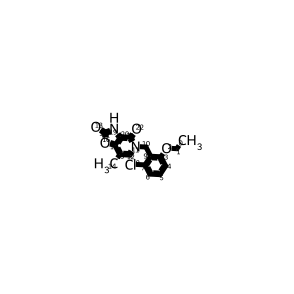 CCOc1cccc(Cl)c1Cn1cc(C)c2oc(=O)[nH]c2c1=O